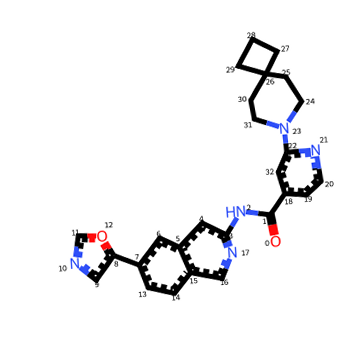 O=C(Nc1cc2cc(-c3cnco3)ccc2cn1)c1ccnc(N2CCC3(CCC3)CC2)c1